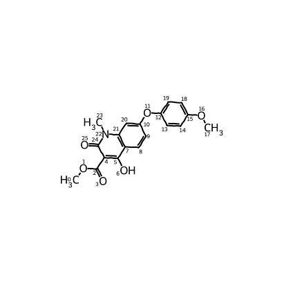 COC(=O)c1c(O)c2ccc(Oc3ccc(OC)cc3)cc2n(C)c1=O